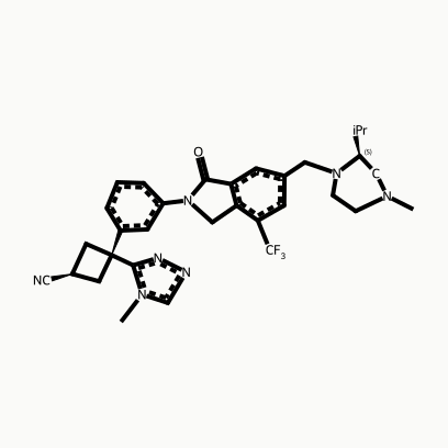 CC(C)[C@H]1CN(C)CCN1Cc1cc2c(c(C(F)(F)F)c1)CN(c1cccc([C@]3(c4nncn4C)C[C@H](C#N)C3)c1)C2=O